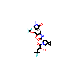 CC(C)(F)CC(O)C(=O)N1CC2(CC2)C[C@H]1C(=O)NC(C[C@@H]1CCNC1=O)C(=O)COC(F)(F)F